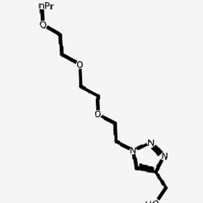 CCCOCCOCCOCCn1cc(CO)nn1